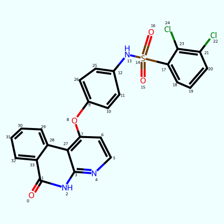 O=c1[nH]c2nccc(Oc3ccc(NS(=O)(=O)c4cccc(Cl)c4Cl)cc3)c2c2ccccc12